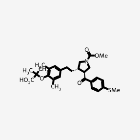 COC(=O)N1C[C@@H](CCc2cc(C)c(OC(C)(C)C(=O)O)c(C)c2)[C@H](C(=O)c2ccc(SC)cc2)C1